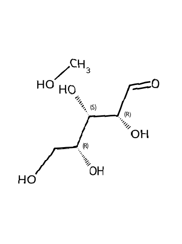 CO.O=C[C@H](O)[C@@H](O)[C@H](O)CO